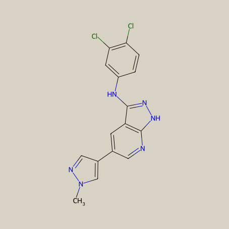 Cn1cc(-c2cnc3[nH]nc(Nc4ccc(Cl)c(Cl)c4)c3c2)cn1